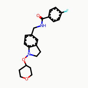 O=C(NCc1ccc2c(c1)CCN2OC1CCOCC1)c1ccc(F)cc1